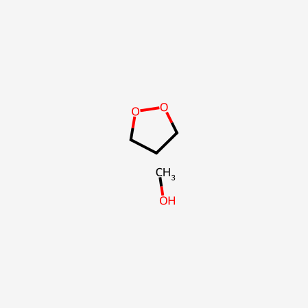 C1COOC1.CO